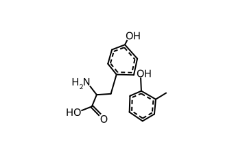 Cc1ccccc1O.NC(Cc1ccc(O)cc1)C(=O)O